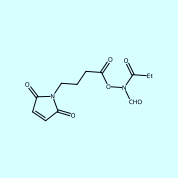 CCC(=O)N(C=O)OC(=O)CCCN1C(=O)C=CC1=O